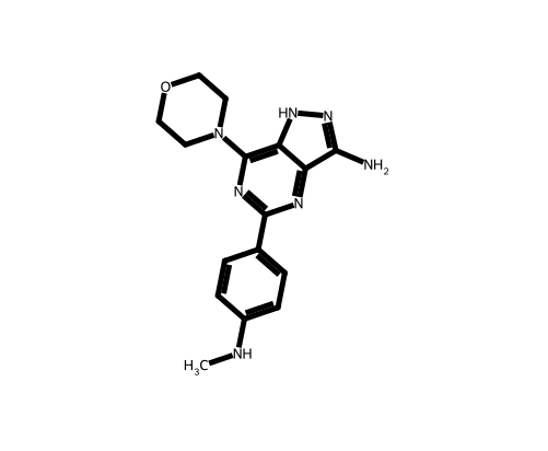 CNc1ccc(-c2nc(N3CCOCC3)c3[nH]nc(N)c3n2)cc1